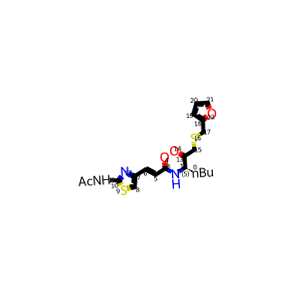 CCCC[C@H](NC(=O)C=Cc1csc(NC(C)=O)n1)C(=O)CSCc1ccco1